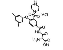 Cc1cc(C)cc(Oc2ccc(C(=O)NC(=O)[C@@H](N)C(=O)O)cc2S(=O)(=O)N2CCNCC2)c1.Cl